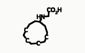 O=C(O)CNC1CCCCCCCCCCC1